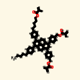 C=C(C)C(=O)OCCCCCc1ccc(-c2cc(-c3ccc(CCCCC(F)(F)F)cc3)c3ccc4c(-c5ccc(COC(=O)C(=C)C)cc5)cc(-c5ccc(COC(=O)C(=C)C)cc5)c5ccc2c3c54)cc1